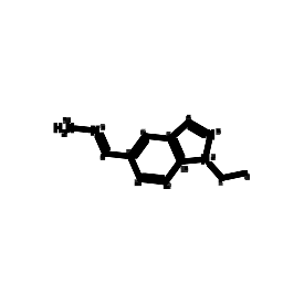 CCn1ncc2cc(C=NN)ccc21